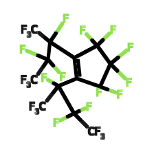 FC(F)(F)C(F)(F)C(F)(C1=C(C(F)(C(F)(F)F)C(F)(F)C(F)(F)F)C(F)(F)C(F)(F)C1(F)F)C(F)(F)F